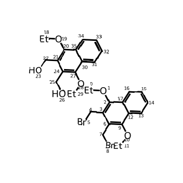 CCOc1c(CBr)c(CBr)c(OCC)c2ccccc12.CCOc1c(CO)c(CO)c(OCC)c2ccccc12